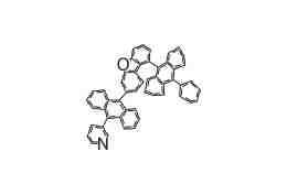 c1ccc(-c2c3ccccc3c(-c3cccc4oc5cc(-c6c7ccccc7c(-c7cccnc7)c7ccccc67)ccc5c34)c3ccccc23)cc1